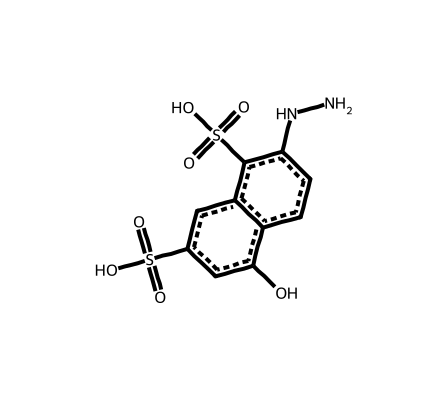 NNc1ccc2c(O)cc(S(=O)(=O)O)cc2c1S(=O)(=O)O